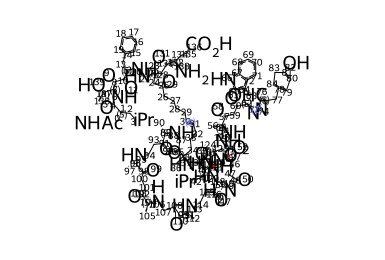 CC(=O)N[C@@H](CC(C)C)C(=O)N[C@H](C(=O)C(=O)[C@H](Cc1ccccc1)NN[C@](C)(CCCCCC/C=C/CCC[C@](C)(NC(=O)[C@H](CC(C)C)NN[C@@H](CCC(N)=O)C(=O)CN[C@@H](C)C(=O)CC(=O)[C@H](Cc1c[nH]c2ccccc12)/N=N\[C@H](C=O)CC1=CC=C(O)CC1)C(=O)CN[C@@H](C)C(=O)CCN[C@@H](C)C(=O)CCC(=O)[C@H](C)NCCC(=O)[C@H](C)NCCC(=O)[C@H](C)NCN[C@H](C)C(N)=O)C(=O)C(=O)[C@@H](N)CCC(=O)O)[C@@H](C)O